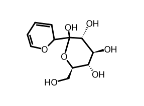 OC[C@H]1OC(O)(C2C=CC=CO2)[C@H](O)[C@@H](O)[C@@H]1O